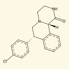 O=C1NCCN2C[C@@H](c3ccc(Cl)cc3)c3ccccc3[C@@H]12